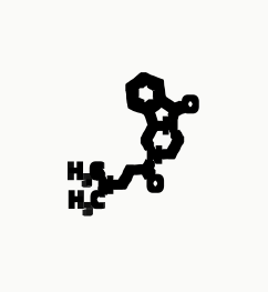 CN(C)CCC(=O)N1CCN2C(=O)c3ccccc3C2C1